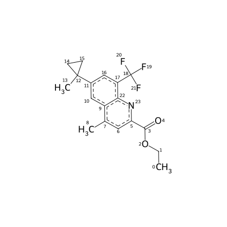 CCOC(=O)c1cc(C)c2cc(C3(C)CC3)cc(C(F)(F)F)c2n1